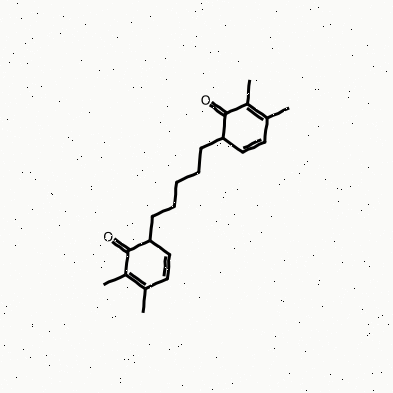 CC1=C(C)C(=O)C(CCCCCC2C=CC(C)=C(C)C2=O)C=C1